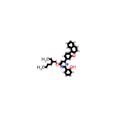 CCCCC(CC)COc1cc(-c2ccc3c(c2)oc2ccc4ccccc4c23)nc(-c2ccccc2O)n1